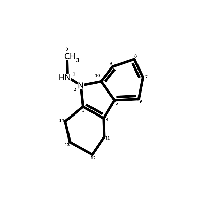 CNn1c2c(c3ccccc31)CCCC2